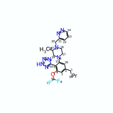 CC(C)Cc1cc(OC(F)F)c(-c2nn[nH]n2)c(N2CCN(Cc3cccnn3)C(C)C2)c1